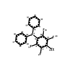 CCc1c(F)c(F)c(P(c2ccccc2)c2ccccc2)c(F)c1F